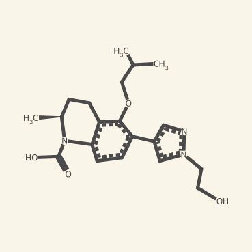 CC(C)COc1c(-c2cnn(CCO)c2)ccc2c1CC[C@H](C)N2C(=O)O